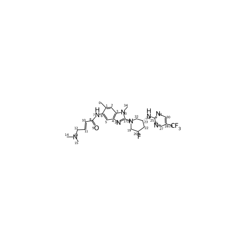 Cc1cc2c(cc1NC(=O)/C=C/CN(C)C)nc(N1C[C@H](F)C[C@@H](Nc3ncc(C(F)(F)F)cn3)C1)n2C